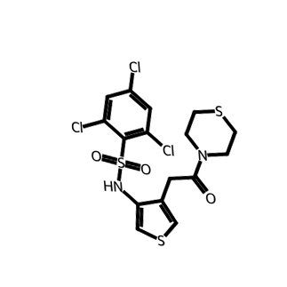 O=C(Cc1cscc1NS(=O)(=O)c1c(Cl)cc(Cl)cc1Cl)N1CCSCC1